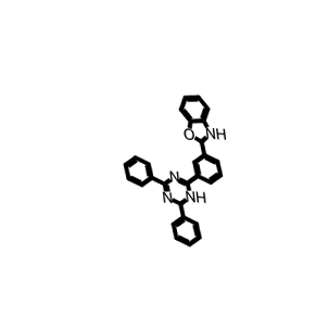 c1ccc(C2=NC(c3ccccc3)NC(c3cccc(C4Nc5ccccc5O4)c3)=N2)cc1